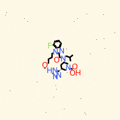 COCCCCn1c(C(=O)N(CC(C)C)[C@H]2C[C@@H](c3nnc[nH]3)CN(C(=O)O)C2)nc2cccc(F)c21